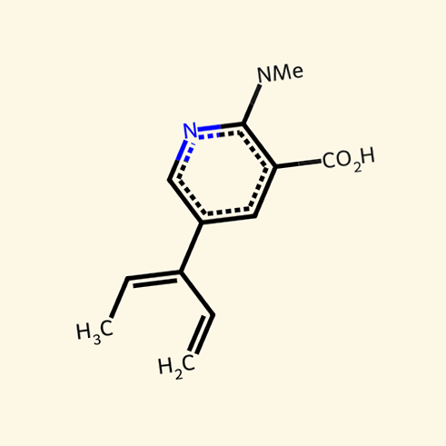 C=C/C(=C\C)c1cnc(NC)c(C(=O)O)c1